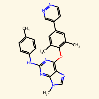 Cc1ccc(Nc2nc(Oc3c(C)cc(-c4ccnnc4)cc3C)c3ncn(C)c3n2)cc1